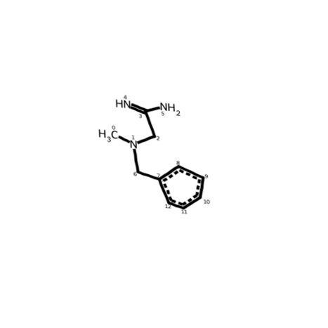 CN(CC(=N)N)Cc1ccccc1